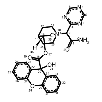 NC(=O)C(c1ncncn1)[N+]12CCC(CC1)[C@@H](OC(=O)C1(O)c3ccccc3Oc3ccccc31)C2